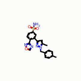 Cc1ccc(Cn2nc(-c3cc(S(N)(=O)=O)ccc3-c3ncon3)cc2C)cc1